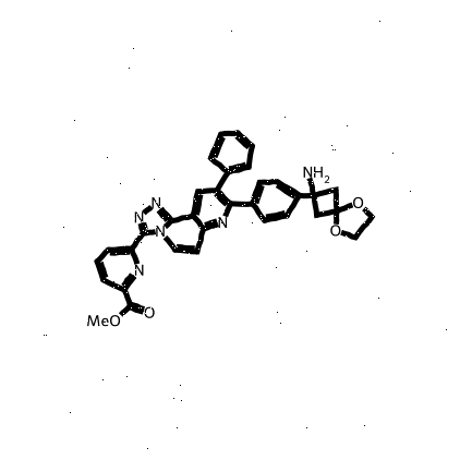 COC(=O)c1cccc(-c2nnc3c4cc(-c5ccccc5)c(-c5ccc(C6(N)CC7(C6)OCCO7)cc5)nc4ccn23)n1